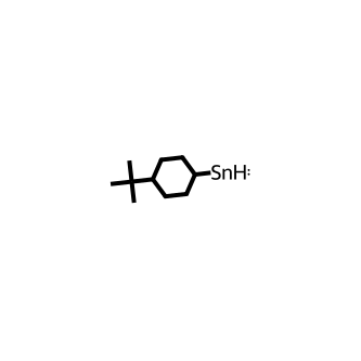 CC(C)(C)C1CC[CH]([SnH])CC1